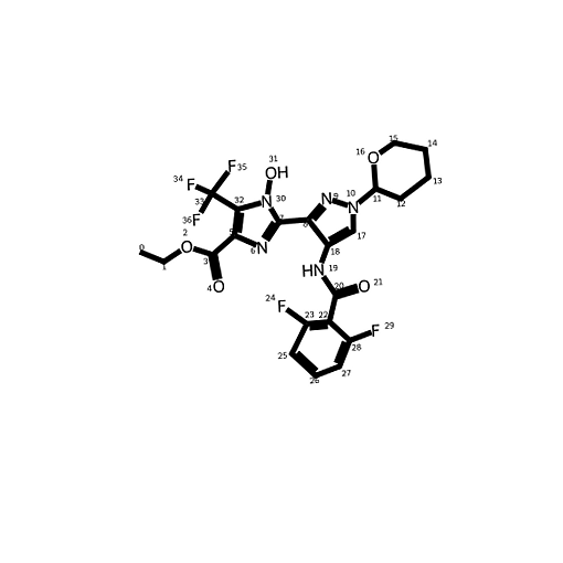 CCOC(=O)c1nc(-c2nn(C3CCCCO3)cc2NC(=O)c2c(F)cccc2F)n(O)c1C(F)(F)F